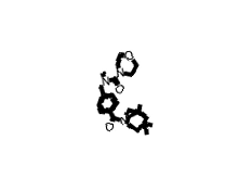 CN(Cc1ccc(C(=O)N2CC3(C)CC2CC(C)(C)C3)cc1)C(=O)N1CCOCC1